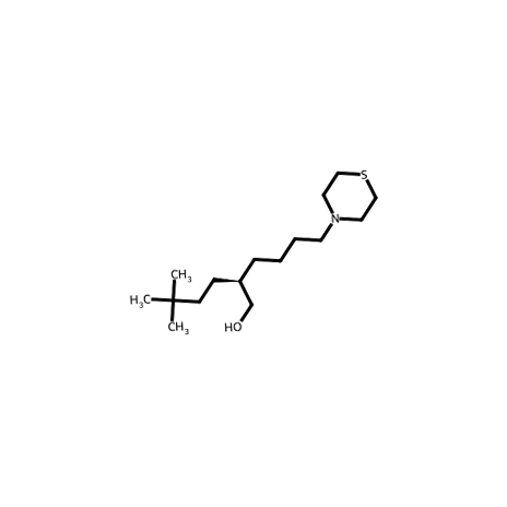 CC(C)(C)CC[C@H](CO)CCCCN1CCSCC1